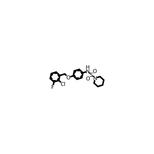 O=S(=O)(Nc1ccc(OCc2cccc(F)c2Cl)cc1)N1CCCCC1